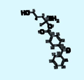 BC(C)(CCCO)OC(=O)c1ccc(C(=O)c2ccccc2)cc1